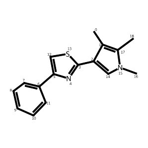 Cc1c(-c2nc(-c3ccccc3)cs2)cn(C)c1C